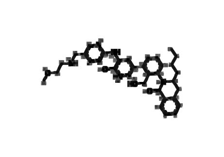 CCCCC1Cc2ccccc2C(=O)N1c1cccc(-c2c[nH]c(=O)c(Nc3ccc(CNCCOC)cn3)c2)c1CO